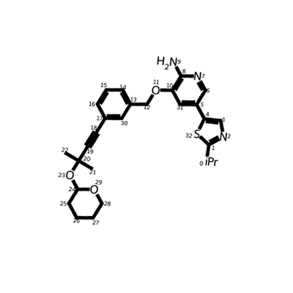 CC(C)c1ncc(-c2cnc(N)c(OCc3cccc(C#CC(C)(C)OC4CCCCO4)c3)c2)s1